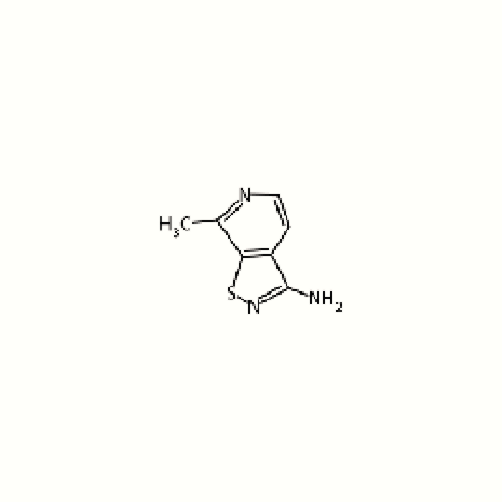 Cc1nccc2c(N)nsc12